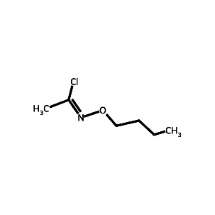 CCCCON=C(C)Cl